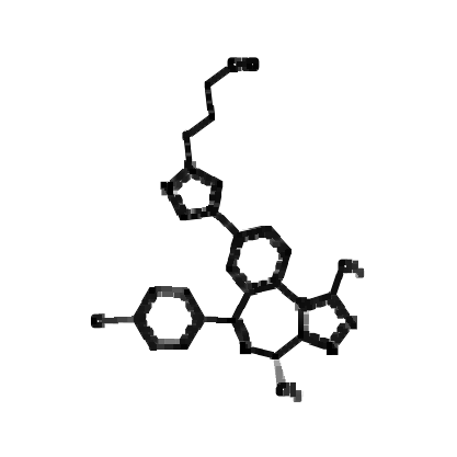 Cc1nnc2n1-c1ccc(-c3cnn(CCCC=O)c3)cc1C(c1ccc(Cl)cc1)=N[C@H]2C